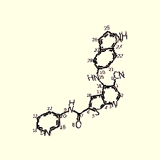 N#Cc1cnc2sc(C(=O)Nc3cccnc3)cc2c1Nc1ccc2[nH]ccc2c1